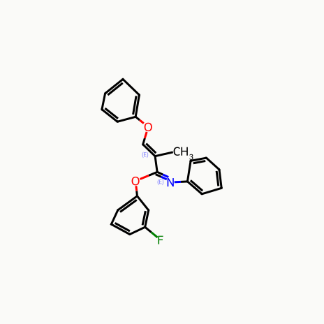 CC(=C\Oc1ccccc1)/C(=N\c1ccccc1)Oc1cccc(F)c1